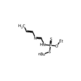 CC=CN=CNP(=S)(OCC)SCCCC